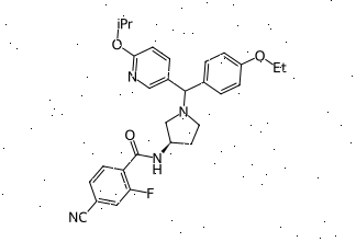 CCOc1ccc(C(c2ccc(OC(C)C)nc2)N2CC[C@@H](NC(=O)c3ccc(C#N)cc3F)C2)cc1